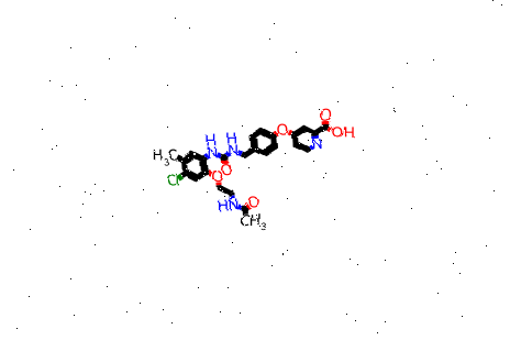 CC(=O)NCCOc1cc(Cl)c(C)cc1NC(=O)NCc1ccc(Oc2ccnc(C(=O)O)c2)cc1